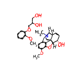 COc1ccc2c3c1O[C@H]1[C@@H](O)C=C[C@H]4[C@@H](C2)N(C)CC[C@@]341.COc1ccccc1OCC(O)CO